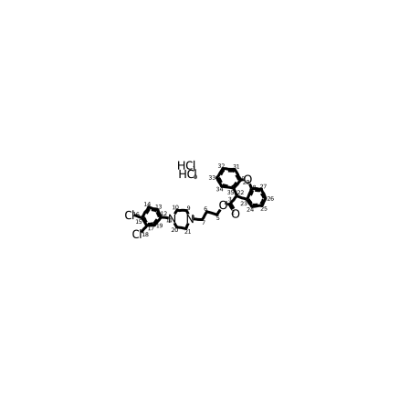 Cl.Cl.O=C(OCCCN1CCN(c2ccc(Cl)c(Cl)c2)CC1)C1c2ccccc2Oc2ccccc21